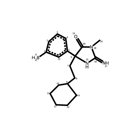 Bc1cccc(C2(CCC3CCCCC3)NC(=N)N(C)C2=O)c1